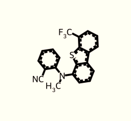 CN(c1ccccc1C#N)c1cccc2c1sc1c(C(F)(F)F)cccc12